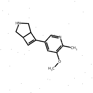 COc1cc(C2=CC3CNCC23)cnc1C